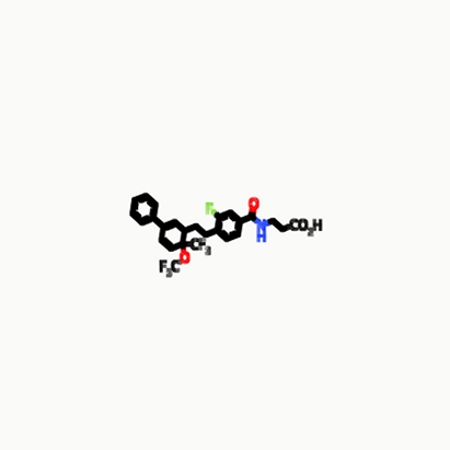 O=C(O)CCNC(=O)c1ccc(CCC2C=C(c3ccccc3)C=CC2(OC(F)(F)F)C(F)(F)F)c(F)c1